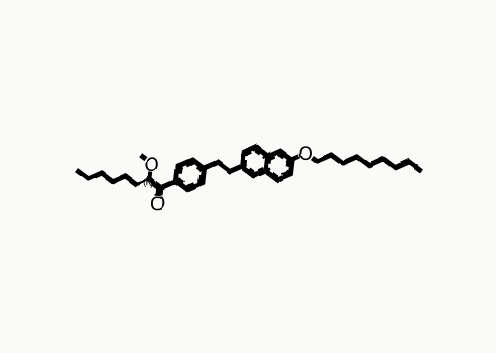 CCCCCCCCCOc1ccc2cc(CCc3ccc(C(=O)[C@@H](CCCCCC)OC)cc3)ccc2c1